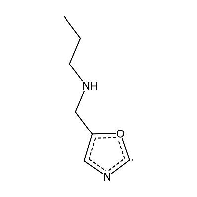 CCCNCc1cn[c]o1